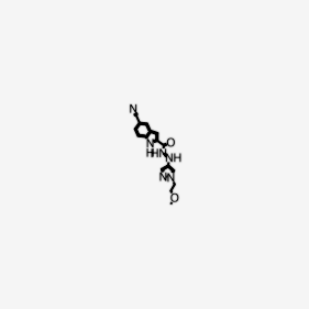 COCCn1cc(NNC(=O)c2cc3cc(C#N)ccc3[nH]2)cn1